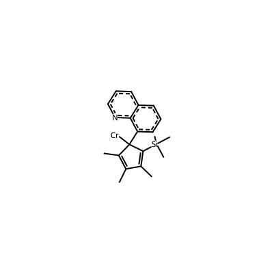 CC1=C(C)[C]([Cr])(c2cccc3cccnc23)C([Si](C)(C)C)=C1C